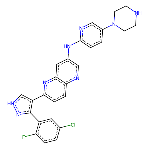 Fc1ccc(Cl)cc1-c1n[nH]cc1-c1ccc2ncc(Nc3ccc(N4CCNCC4)cn3)cc2n1